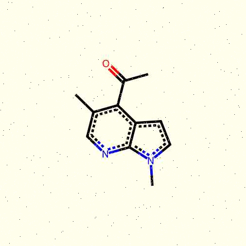 CC(=O)c1c(C)cnc2c1ccn2C